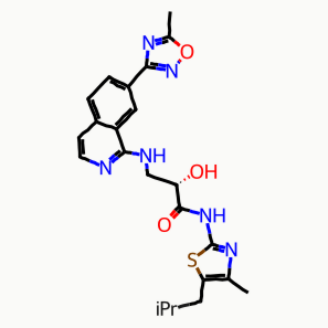 Cc1nc(-c2ccc3ccnc(NC[C@H](O)C(=O)Nc4nc(C)c(CC(C)C)s4)c3c2)no1